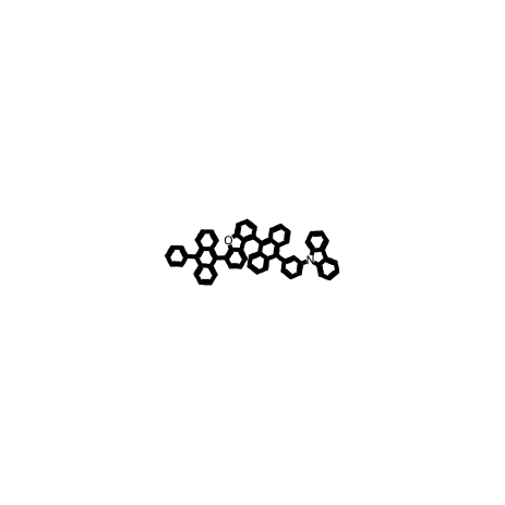 c1ccc(-c2c3ccccc3c(-c3cccc4c3oc3cccc(-c5c6ccccc6c(-c6cccc(-n7c8ccccc8c8ccccc87)c6)c6ccccc56)c34)c3ccccc23)cc1